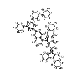 c1ccc(-c2cccc(-c3nc(-c4ccccc4)nc(-c4ccc5c(-n6c7cc(-n8c9ccccc9c9c%10ccccc%10ccc98)ccc7c7cc8ccccc8cc76)cccc5c4)n3)c2)cc1